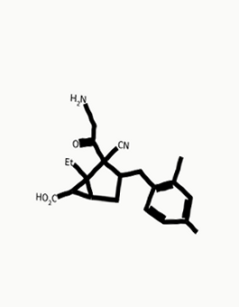 CCC12C(CC(Cc3ccc(C)cc3C)C1(C#N)C(=O)CN)C2C(=O)O